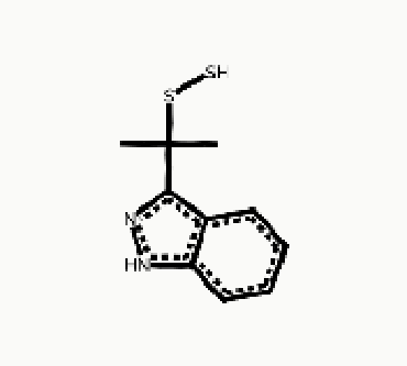 CC(C)(SS)c1n[nH]c2ccccc12